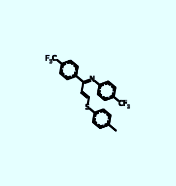 Cc1ccc(SC=CC(=Nc2ccc(C(F)(F)F)cc2)c2ccc(C(F)(F)F)cc2)cc1